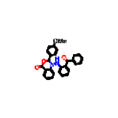 COc1ccc(C2OC(=O)c3ccccc3N2Nc2ccccc2C(=O)c2ccccc2)cc1